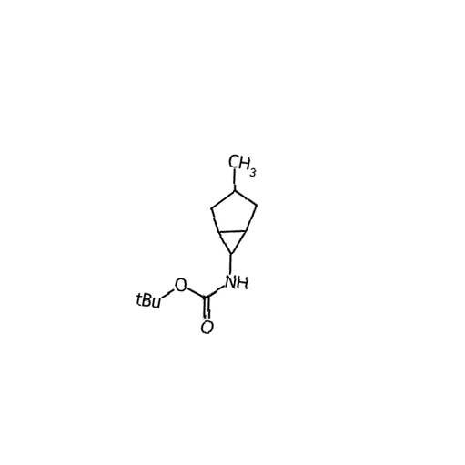 CC1CC2C(C1)C2NC(=O)OC(C)(C)C